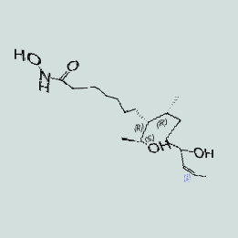 C/C=C\C(O)CC[C@@H](C)[C@@H](CCCCCCC(=O)NO)[C@H](C)O